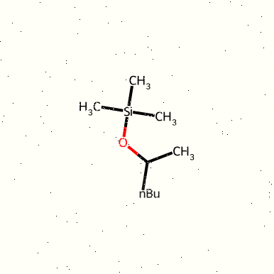 CCCC[C](C)O[Si](C)(C)C